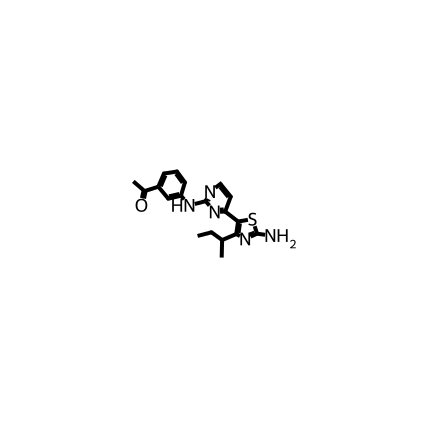 CCC(C)c1nc(N)sc1-c1ccnc(Nc2cccc(C(C)=O)c2)n1